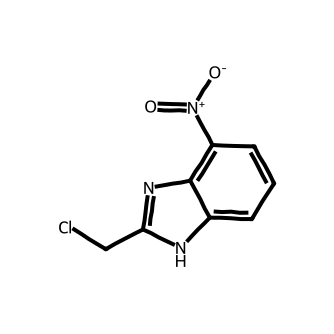 O=[N+]([O-])c1cccc2[nH]c(CCl)nc12